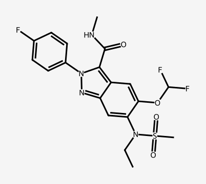 CCN(c1cc2nn(-c3ccc(F)cc3)c(C(=O)NC)c2cc1OC(F)F)S(C)(=O)=O